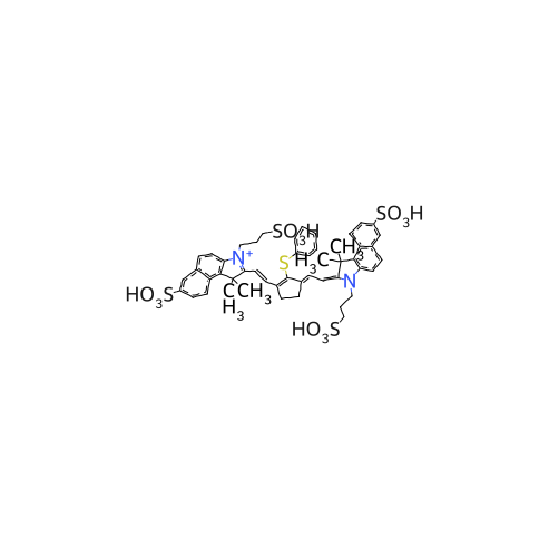 CC1(C)C(=CC=C2CCC(C=CC3=[N+](CCCS(=O)(=O)O)c4ccc5cc(S(=O)(=O)O)ccc5c4C3(C)C)=C2Sc2ccccc2)N(CCCS(=O)(=O)O)c2ccc3cc(S(=O)(=O)O)ccc3c21